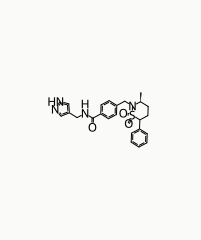 C[C@H]1CCC(c2ccccc2)S(=O)(=O)N1Cc1ccc(C(=O)NCc2cn[nH]c2)cc1